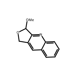 COC1OCc2cc3ccccc3nc21